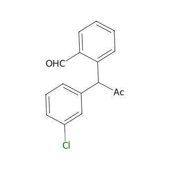 CC(=O)C(c1cccc(Cl)c1)c1ccccc1C=O